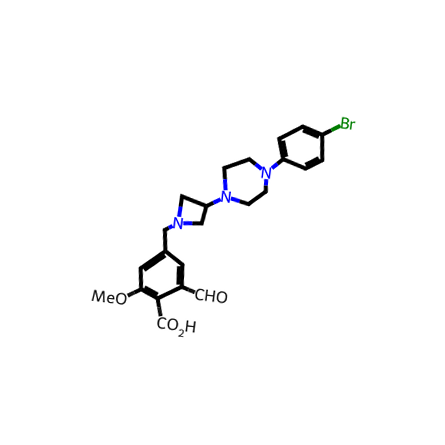 COc1cc(CN2CC(N3CCN(c4ccc(Br)cc4)CC3)C2)cc(C=O)c1C(=O)O